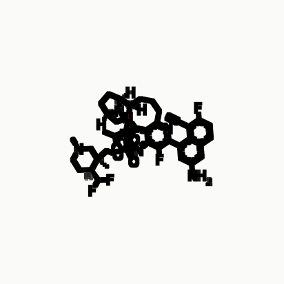 C#Cc1c(F)ccc2cc(N)cc(-c3nc4c5c(nc(OC[C@]6(C)CN(C)CC[C@@H]6C(F)F)nc5c3F)N3C[C@H]5CC[C@@H]([C@H]3CCC4)N5Cc3oc(=O)oc3C)c12